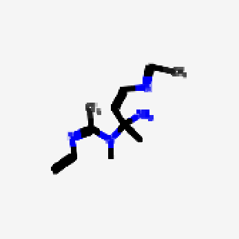 C=C/N=C(\N(C)C(C)(N)/C=C\N=C\C(F)(F)F)C(F)(F)F